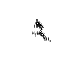 C=CC(CC)(CCCc1ccc(F)c(Nc2ccc(F)cc2)c1)c1ccc(OCC)cc1